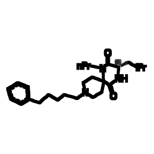 CCCN1C(=O)[C@H](CC(C)C)NC(=O)C12CCN(CCCCCc1ccccc1)CC2